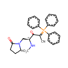 N#CC(C(=O)[C@H](CN1CCCC1=O)NC(=O)O)=P(c1ccccc1)(c1ccccc1)c1ccccc1